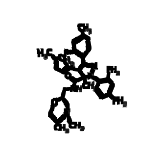 Cc1ccc(C2=NN(c3ccc(P)cc3P)C(C)(C(=O)NCC3CN(C)C(C)CO3)C2c2ccc(C)o2)c(P)c1